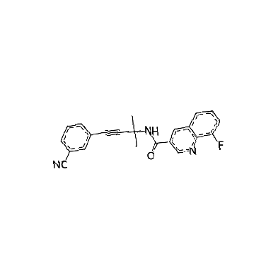 CC(C)(C#Cc1cccc(C#N)c1)NC(=O)c1cnc2c(F)cccc2c1